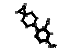 CCCc1ccc(N2CCC3(CC2)CO3)c(Cl)c1